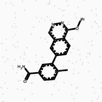 Cc1ccc(C(N)=O)cc1-c1ccc2c(OC(C)C)nncc2c1